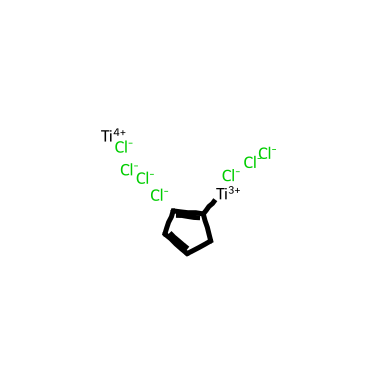 [Cl-].[Cl-].[Cl-].[Cl-].[Cl-].[Cl-].[Cl-].[Ti+3][C]1=CC=CC1.[Ti+4]